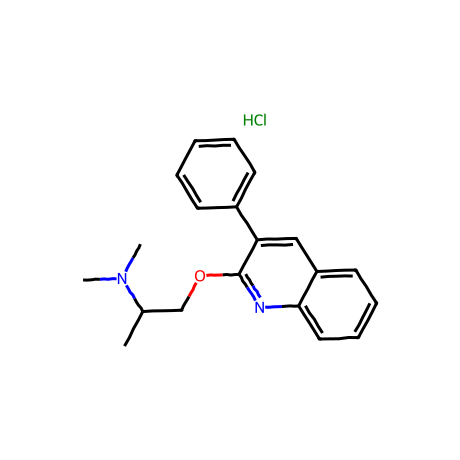 CC(COc1nc2ccccc2cc1-c1ccccc1)N(C)C.Cl